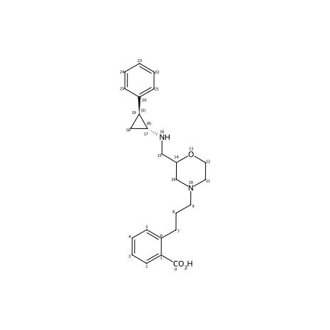 O=C(O)c1ccccc1CCCN1CCOC(CN[C@@H]2C[C@H]2c2ccccc2)C1